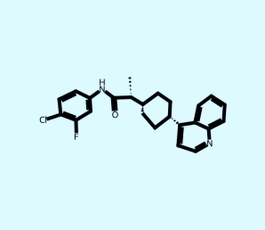 C[C@@H](C(=O)Nc1ccc(Cl)c(F)c1)[C@H]1CC[C@@H](c2ccnc3ccccc32)CC1